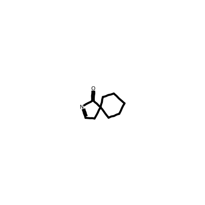 O=C1N=CCC12CCCCC2